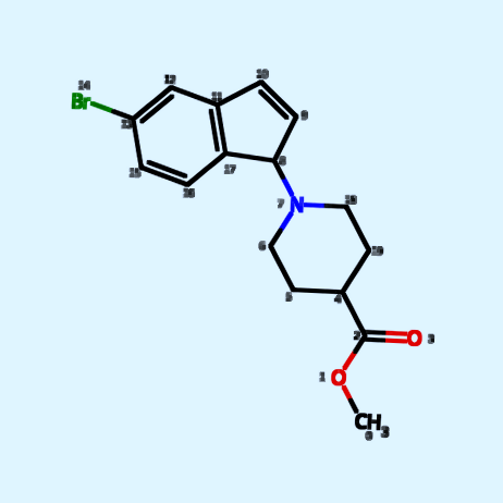 COC(=O)C1CCN(C2C=Cc3cc(Br)ccc32)CC1